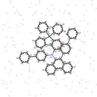 c1ccc(-c2ccc(-c3c(N(c4ccc(-c5ccccc5)cc4)c4cccc5c4-c4ccccc4C5(c4ccccc4)c4ccccc4)c4ccccc4c4ccccc34)cc2)cc1